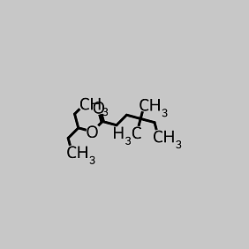 CCC(CC)OC(=O)CCC(C)(C)CC